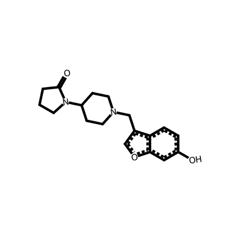 O=C1CCCN1C1CCN(Cc2coc3cc(O)ccc23)CC1